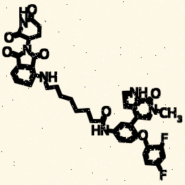 Cn1cc(-c2cc(NC(=O)CCCCCCCNc3cccc4c3C(=O)N(C3CCC(=O)NC3=O)C4=O)ccc2Oc2ccc(F)cc2F)c2cc[nH]c2c1=O